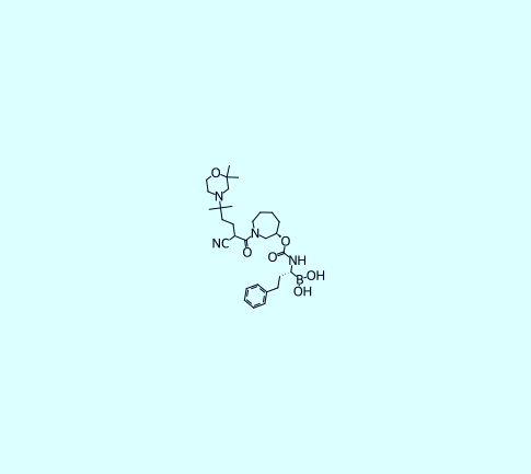 CC1(C)CN(C(C)(C)CCC(C#N)C(=O)N2CCCC[C@@H](OC(=O)N[C@@H](CCc3ccccc3)B(O)O)C2)CCO1